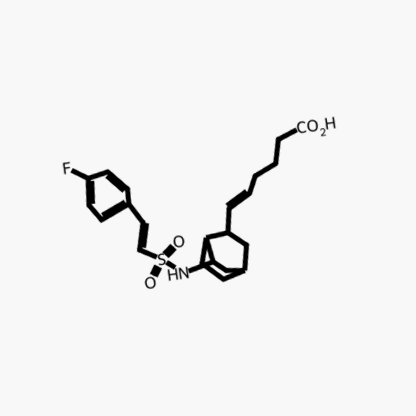 O=C(O)CCCC=CC1CC2CCC1C(NS(=O)(=O)C=Cc1ccc(F)cc1)C2